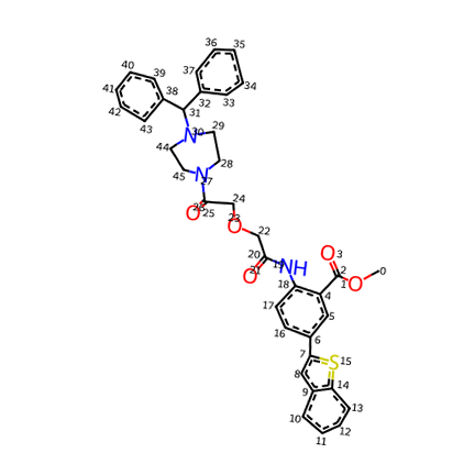 COC(=O)c1cc(-c2cc3ccccc3s2)ccc1NC(=O)COCC(=O)N1CCN(C(c2ccccc2)c2ccccc2)CC1